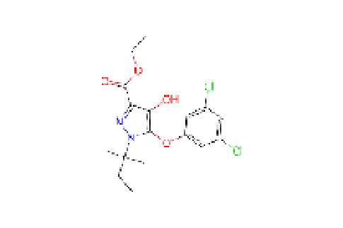 CCOC(=O)c1nn(C(C)(C)CC)c(Oc2cc(Cl)cc(Cl)c2)c1O